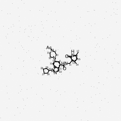 CC(=O)N1CCN(c2cc(C(=O)NCc3c(C)cc(C)[nH]c3=O)c3cnn(C4CCCC4)c3c2)CC1